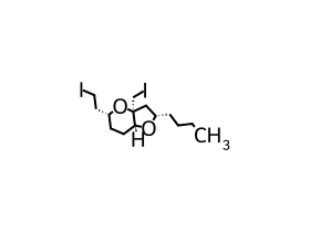 CCCC[C@H]1C[C@]2(CI)O[C@@H](CCI)CC[C@@H]2O1